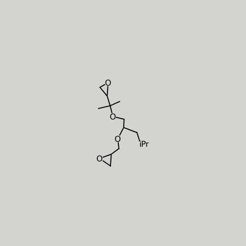 CC(C)CC(COC(C)(C)C1CO1)OCC1CO1